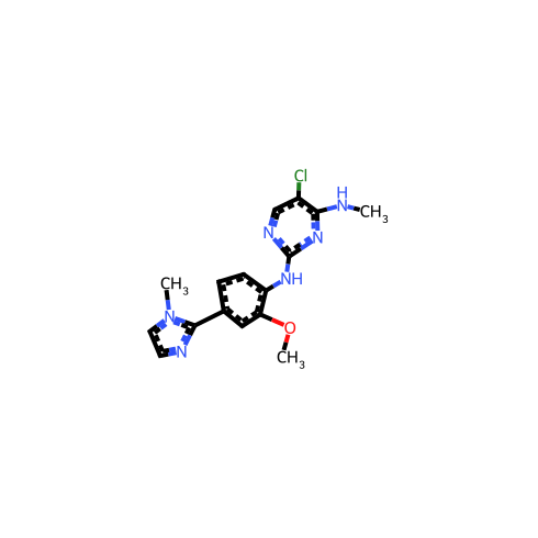 CNc1nc(Nc2ccc(-c3nccn3C)cc2OC)ncc1Cl